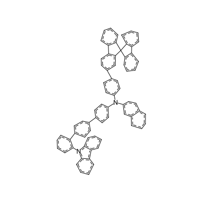 c1ccc(-n2c3ccccc3c3ccccc32)c(-c2ccc(-c3ccc(N(c4ccc(-c5ccc6c(c5)C5(c7ccccc7-c7ccccc75)c5ccccc5-6)cc4)c4ccc5ccccc5c4)cc3)cc2)c1